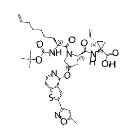 C=CCCCCC[C@H](NC(=O)OC(C)(C)C)C(=O)N1C[C@H](Oc2nccc3sc(-c4cc(C)on4)cc23)C[C@@H]1C(=O)N[C@]1(C(=O)O)C[C@H]1C=C